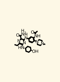 CCc1nc(C(N)=O)c(Nc2ccc(N3CCN(C)CC3)c(NC(C)=O)c2)nc1N[C@H]1CC[C@H](O)CC1